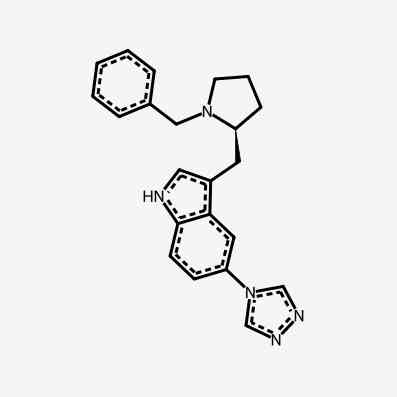 c1ccc(CN2CCC[C@H]2Cc2c[nH]c3ccc(-n4cnnc4)cc23)cc1